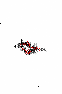 CCC(C)(C(C)C)n1nnc2c1-c1ccccc1CN(C(=O)CCC(=O)NCC(=O)NCC(=O)N[C@H](C(=O)N[C@@H](C)C(=O)Nc1ccc(COC(=O)N3c4cc(OCCCCCOc5cc6c(cc5OC)C(=O)N5C=C(c7ccc(OC)cc7)C[C@H]5CN6)c(OC)cc4C(=O)N4CC5(CC5)C[C@H]4[C@@H]3O)cc1)C(C)C)c1ccccc1-2